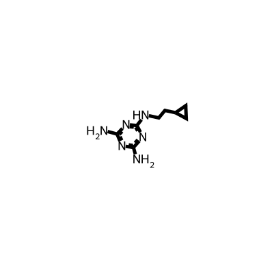 Nc1nc(N)nc(NCCC2CC2)n1